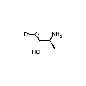 CCOC[C@H](C)N.Cl